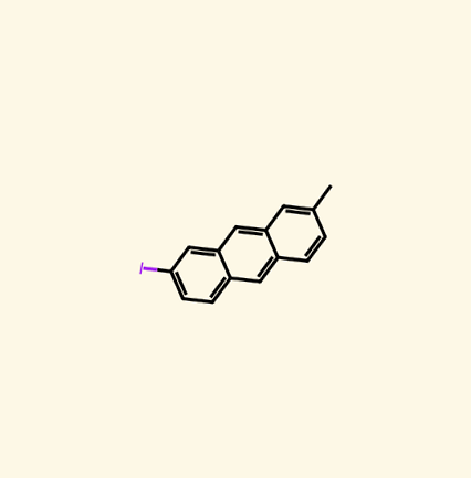 Cc1ccc2cc3ccc(I)cc3cc2c1